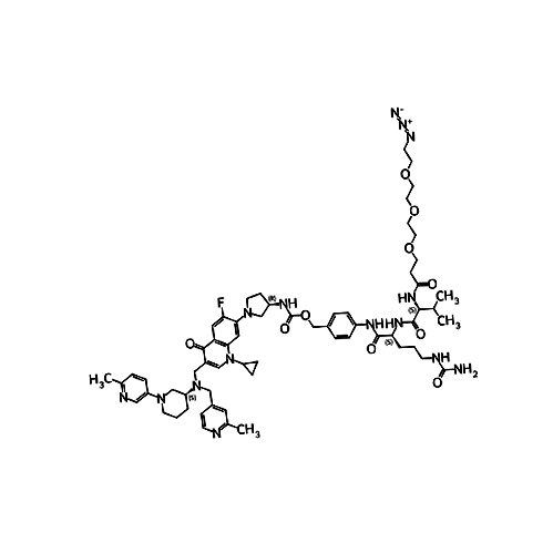 Cc1ccc(N2CCC[C@H](N(Cc3ccnc(C)c3)Cc3cn(C4CC4)c4cc(N5CC[C@@H](NC(=O)OCc6ccc(NC(=O)[C@H](CCCNC(N)=O)NC(=O)[C@@H](NC(=O)CCOCCOCCOCCN=[N+]=[N-])C(C)C)cc6)C5)c(F)cc4c3=O)C2)cn1